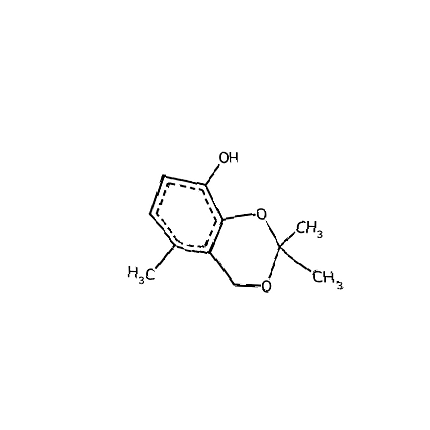 Cc1ccc(O)c2c1COC(C)(C)O2